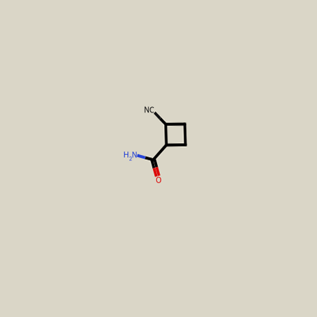 N#CC1CCC1C(N)=O